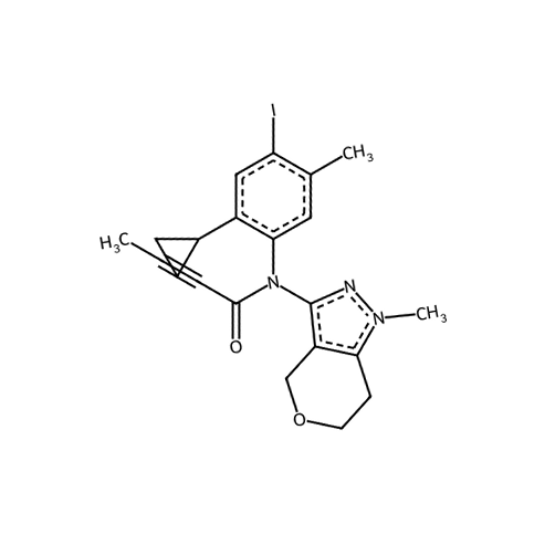 CC#CC(=O)N(c1cc(C)c(I)cc1C1CC1)c1nn(C)c2c1COCC2